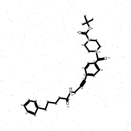 CC(C)(C)OC(=O)N1CCN(C(=O)c2ccc(C#CCNC(=O)CCCCc3ccccc3)cc2)CC1